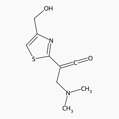 CN(C)CC(=C=O)c1nc(CO)cs1